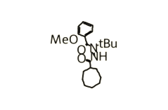 COc1ccccc1C(=O)N(NC(=O)C1CCCCCCC1)C(C)(C)C